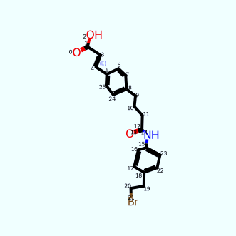 O=C(O)/C=C/c1ccc(CCCC(=O)Nc2ccc(CCBr)cc2)cc1